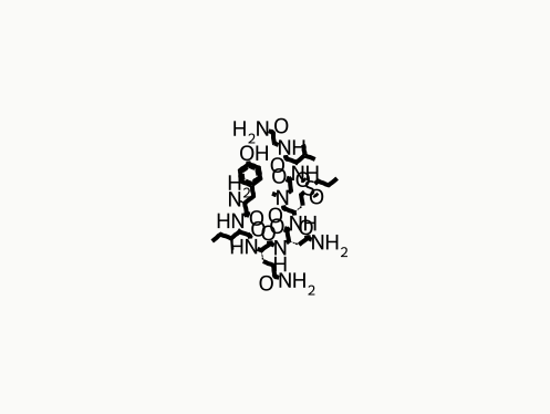 CCCS(=O)(=O)CC[C@H](NC(=O)[C@H](CC(N)=O)NC(=O)[C@H](CCC(N)=O)NC(=O)[C@@H](NC(=O)[C@H](N)Cc1ccc(O)cc1)[C@@H](C)CC)C(=O)N(C)CC(=O)N[C@H](C(=O)NCC(N)=O)C(C)C